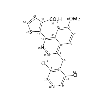 COc1ccc2c(Cc3c(Cl)cncc3Cl)nnc(-c3sccc3C(=O)O)c2c1